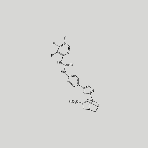 O=C(Nc1ccc(-c2cnc(C34CC5CC(CC(C(=O)O)(C5)C3)C4)s2)cc1)Nc1ccc(F)c(F)c1F